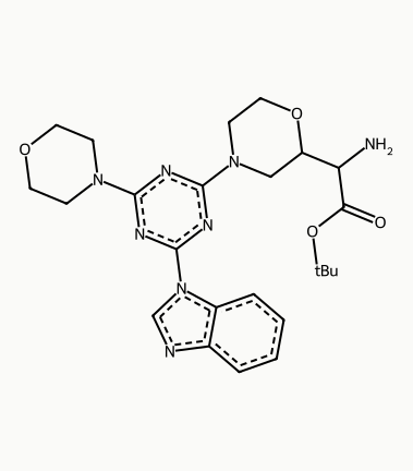 CC(C)(C)OC(=O)C(N)C1CN(c2nc(N3CCOCC3)nc(-n3cnc4ccccc43)n2)CCO1